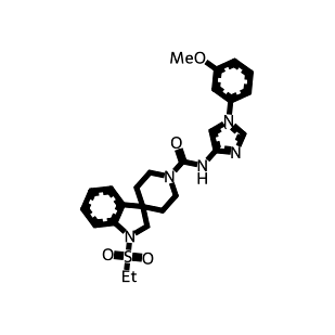 CCS(=O)(=O)N1CC2(CCN(C(=O)Nc3cn(-c4cccc(OC)c4)cn3)CC2)c2ccccc21